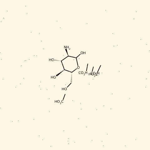 CC(=O)O.CC(=O)O.CC(=O)O.CC(=O)O.N[C@H]1C(O)O[C@H](CO)[C@@H](O)[C@@H]1O